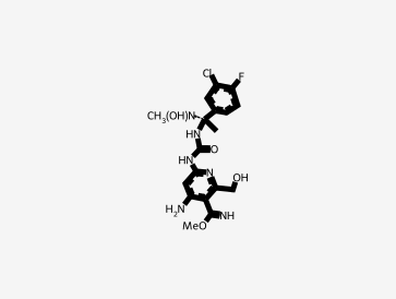 COC(=N)c1c(N)cc(NC(=O)N[C@](C)(c2ccc(F)c(Cl)c2)N(C)O)nc1CO